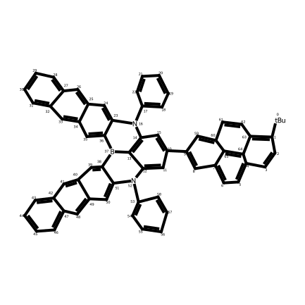 CC(C)(C)c1ccc2ccc3cc(-c4cc5c6c(c4)N(c4ccccc4)c4cc7cc8ccccc8cc7cc4B6c4cc6cc7ccccc7cc6cc4N5c4ccccc4)cc4ccc1c2c34